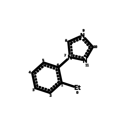 CCc1ccccc1-n1cncn1